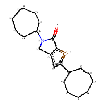 O=C1c2sc(C3CCCCCCC3)cc2CN1C1CCCCCCC1